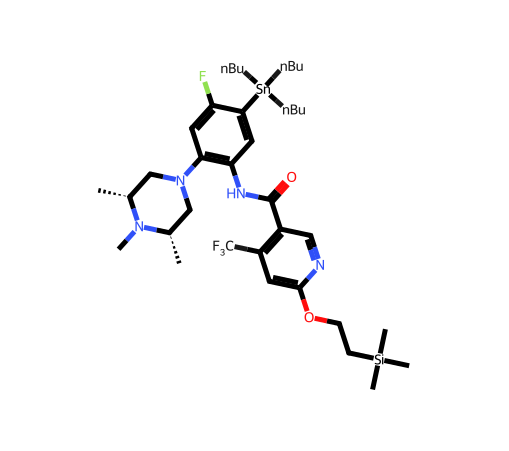 CCC[CH2][Sn]([CH2]CCC)([CH2]CCC)[c]1cc(NC(=O)c2cnc(OCC[Si](C)(C)C)cc2C(F)(F)F)c(N2C[C@@H](C)N(C)[C@@H](C)C2)cc1F